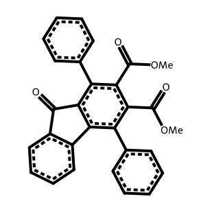 COC(=O)c1c(C(=O)OC)c(-c2ccccc2)c2c(c1-c1ccccc1)C(=O)c1ccccc1-2